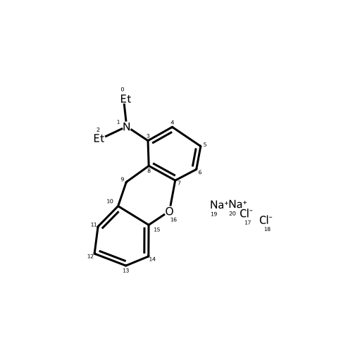 CCN(CC)c1cccc2c1Cc1ccccc1O2.[Cl-].[Cl-].[Na+].[Na+]